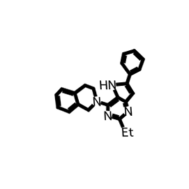 CCc1nc(N2CCc3ccccc3C2)c2[nH]c(-c3ccccc3)cc2n1